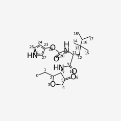 CCC1OCC(=O)C1NC(=O)[C@H](CC(C)(C)C(C)C)NC(=O)Oc1cc[nH]c1